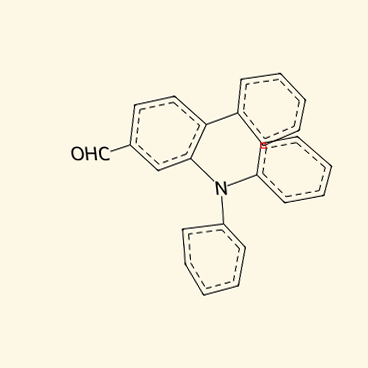 O=Cc1ccc(-c2ccccc2)c(N(c2ccccc2)c2ccccc2)c1